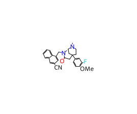 COc1ccc(C2(CC(=O)N(C)Cc3cc(C#N)cc4ccccc34)CCN(C)CC2)cc1F